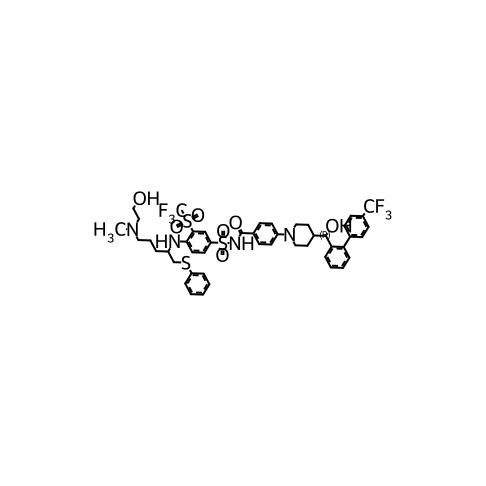 CN(CCO)CCCC(CSc1ccccc1)Nc1ccc(S(=O)(=O)NC(=O)c2ccc(N3CCC([C@@H](O)c4ccccc4-c4ccc(C(F)(F)F)cc4)CC3)cc2)cc1S(=O)(=O)C(F)(F)F